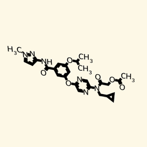 CC(=O)OCC(=O)N(CC1CC1)c1cnc(Oc2cc(OC(C)C)cc(C(=O)Nc3ccn(C)n3)c2)cn1